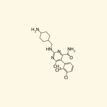 Cc1nc(NCC2CCC(N)CC2)nc(C(N)=O)c1-c1cccc(Cl)c1Cl